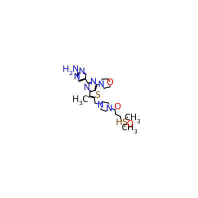 Cc1c(CN2CCN(C(=O)CCC[SH](C)(C)=O)CC2)sc2c(N3CCOCC3)nc(-c3cnc(N)nc3)nc12